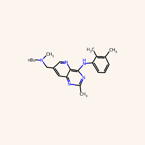 CCCCN(C)Cc1cnc2c(Nc3cccc(C)c3C)nc(C)nc2c1